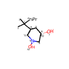 CCCC(C)(C)C1C[C@H](O)CN(O)C1